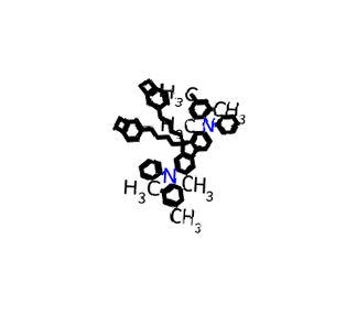 Cc1cc(C)c(N(c2ccccc2)c2ccc3c(c2)C(CCCCc2ccc4c(c2)CC4)(CCCCc2ccc4c(c2)CC4)c2cc(N(c4ccccc4)c4c(C)cc(C)cc4C)ccc2-3)c(C)c1